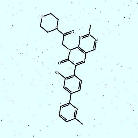 Cc1cccc(-c2ccc(-c3cc4cnc(C)nc4n(CC(=O)N4CCOCC4)c3=O)c(Cl)c2)n1